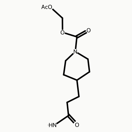 CC(=O)OCOC(=O)N1CCC(CCC([NH])=O)CC1